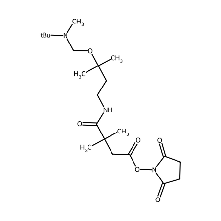 CN(COC(C)(C)CCNC(=O)C(C)(C)CC(=O)ON1C(=O)CCC1=O)C(C)(C)C